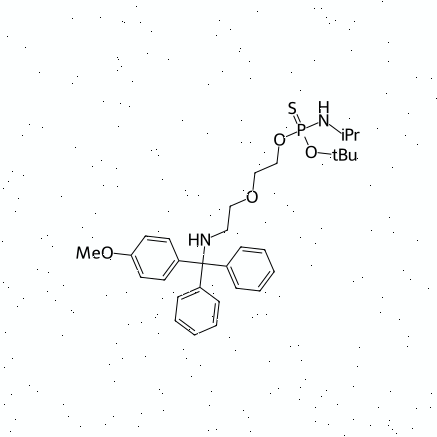 COc1ccc(C(NCCOCCOP(=S)(NC(C)C)OC(C)(C)C)(c2ccccc2)c2ccccc2)cc1